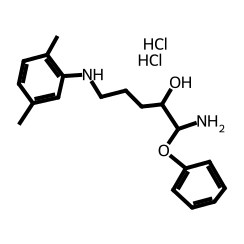 Cc1ccc(C)c(NCCCC(O)C(N)Oc2ccccc2)c1.Cl.Cl